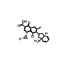 NC12C=CC=C[C@@H]1CN(c1c(F)cc3c(=O)c(C(=O)O)cn([C@@H]4C[C@@H]4F)c3c1Cl)C2